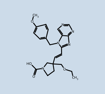 CCOCC1(C=Cc2nc3ncncc3n2Cc2ccc(OC)cc2)CCN(C(=O)O)C1